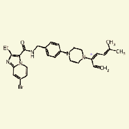 C=C/C(=C\C=C(C)C)N1CCN(c2ccc(CNC(=O)c3c(CC)nc4cc(Br)ccn34)cc2)CC1